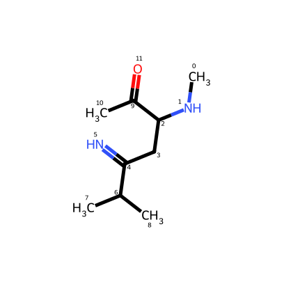 CNC(CC(=N)C(C)C)C(C)=O